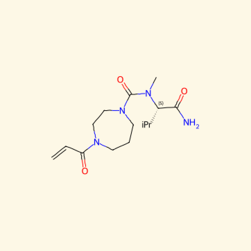 C=CC(=O)N1CCCN(C(=O)N(C)[C@H](C(N)=O)C(C)C)CC1